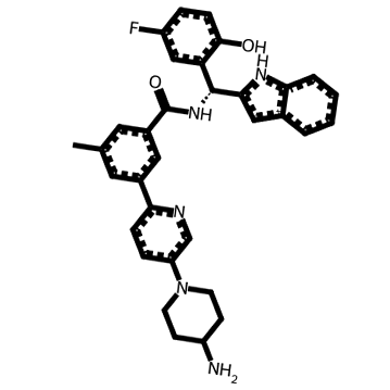 Cc1cc(C(=O)N[C@@H](c2cc3ccccc3[nH]2)c2cc(F)ccc2O)cc(-c2ccc(N3CCC(N)CC3)cn2)c1